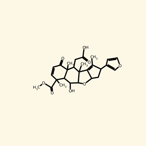 COC(=O)C1(C)C=CC(=O)C2(C)C1C(O)C1OC3CC(c4ccoc4)C(C)=C3C1(C)C2CC(=O)O